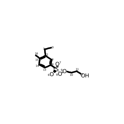 CCc1cc(S(=O)(=O)OOCCO)ccc1C